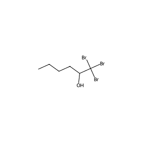 CCCCC(O)C(Br)(Br)Br